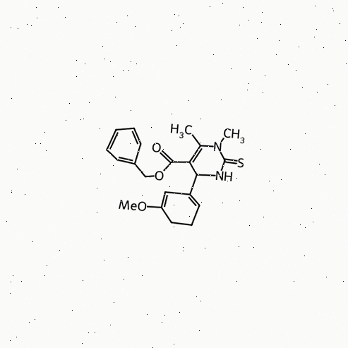 COC1=CC(C2NC(=S)N(C)C(C)=C2C(=O)OCc2ccccc2)=CCC1